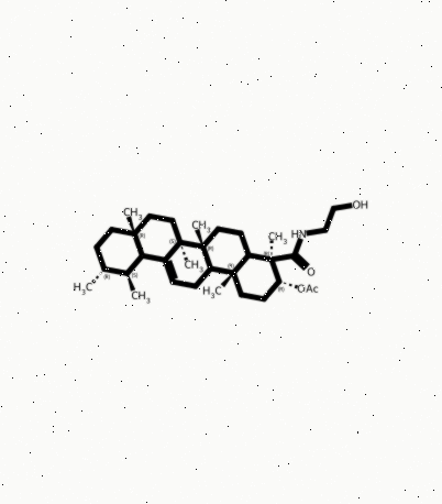 CC(=O)O[C@@H]1CC[C@@]2(C)C(CC[C@]3(C)C2CC=C2C4[C@@H](C)[C@H](C)CC[C@]4(C)CC[C@]23C)[C@@]1(C)C(=O)NCCO